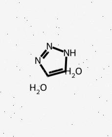 O.O.c1c[nH]nn1